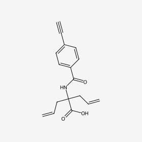 C#Cc1ccc(C(=O)NC(CC=C)(CC=C)C(=O)O)cc1